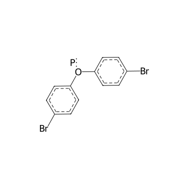 Brc1ccc(Oc2ccc(Br)cc2)cc1.[P]